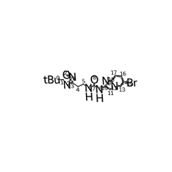 CC(C)(C)c1nc(CCNC(=O)Nc2cn3cc(Br)ccc3n2)no1